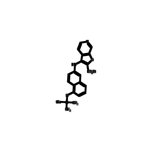 CCOC(=O)c1oc2cnccc2c1Nc1ccc2c(O[Si](C)(C)C(C)(C)C)cccc2c1